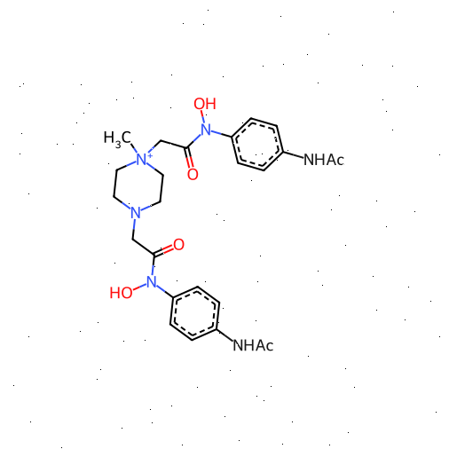 CC(=O)Nc1ccc(N(O)C(=O)CN2CC[N+](C)(CC(=O)N(O)c3ccc(NC(C)=O)cc3)CC2)cc1